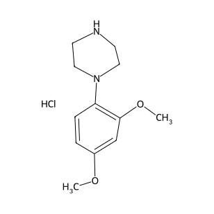 COc1ccc(N2CCNCC2)c(OC)c1.Cl